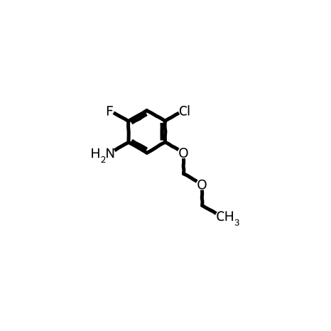 CCOCOc1cc(N)c(F)cc1Cl